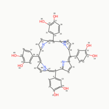 Oc1ccc(-c2c3nc(c(-c4ccc(O)c(O)c4)c4ccc([nH]4)c(-c4ccc(O)c(O)c4)c4nc(c(-c5ccc(O)c(O)c5)c5ccc2[nH]5)CC4)C=C3)cc1O